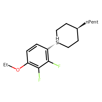 CCCCC[C@H]1CC[Si@H](c2ccc(OCC)c(F)c2F)CC1